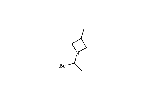 CC1CN(C(C)C(C)(C)C)C1